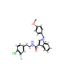 COc1ccc(Cn2cc(C(=O)NCCc3ccc(Cl)c(F)c3)c3ccccc32)cc1